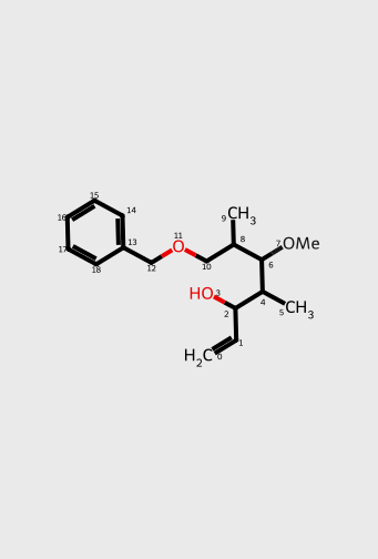 C=CC(O)C(C)C(OC)C(C)COCc1ccccc1